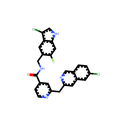 O=C(NCc1cc2c(Cl)c[nH]c2cc1F)c1ccnc(Cc2cc3cc(Cl)ccc3cn2)c1